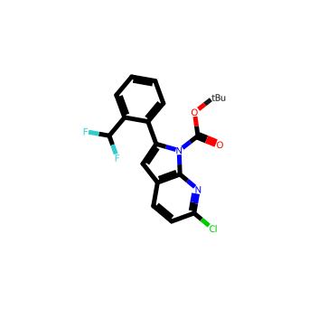 CC(C)(C)OC(=O)n1c(-c2ccccc2C(F)F)cc2ccc(Cl)nc21